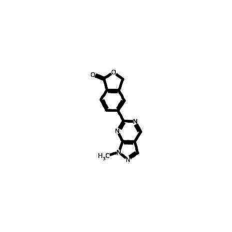 Cn1ncc2cnc(-c3ccc4c(c3)COC4=O)nc21